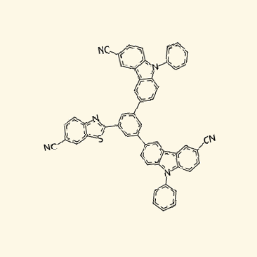 N#Cc1ccc2nc(-c3cc(-c4ccc5c(c4)c4cc(C#N)ccc4n5-c4ccccc4)cc(-c4ccc5c(c4)c4cc(C#N)ccc4n5-c4ccccc4)c3)sc2c1